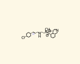 CN(CCNC/C=C/c1ccc(Cl)cc1)S(=O)(=O)c1cccc2cnccc12